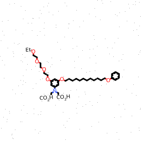 CCOCCOCCOCCOc1cc(OCCCCCCCCCCCCOc2ccccc2)cc(N(CC(=O)O)CC(=O)O)c1